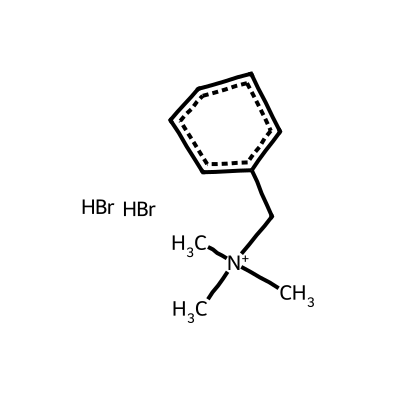 Br.Br.C[N+](C)(C)Cc1ccccc1